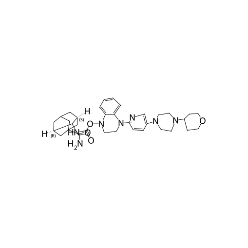 NC(=O)C12CC3C[C@H](C1)C(NC(=O)ON1CCN(c4ccc(N5CCN(C6CCOCC6)CC5)cn4)c4ccccc41)[C@@H](C3)C2